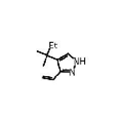 C=Cc1n[nH]cc1C(C)(C)CC